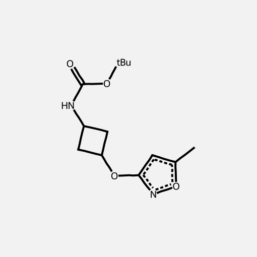 Cc1cc(OC2CC(NC(=O)OC(C)(C)C)C2)no1